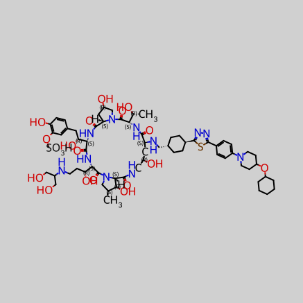 C[C@@H](O)[C@@H]1NC(=O)[C@@H](NC[C@H]2CC[C@H](c3nnc(-c4ccc(N5CCC(OC6CCCCC6)CC5)cc4)s3)CC2)C[C@@H](O)CNC(=O)[C@@H]2[C@@H](O)[C@@H](C)CN2C(=O)[C@H]([C@H](O)CCNC(CO)CO)NC(=O)[C@H]([C@H](O)Cc2ccc(O)c(OS(=O)(=O)O)c2)NC(=O)[C@@H]2C[C@@H](O)CN2C1=O